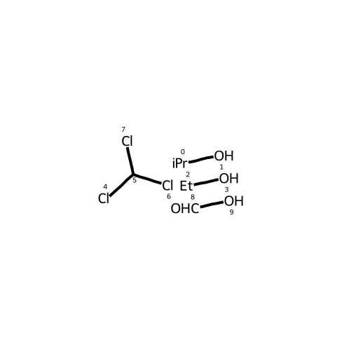 CC(C)O.CCO.ClC(Cl)Cl.O=CO